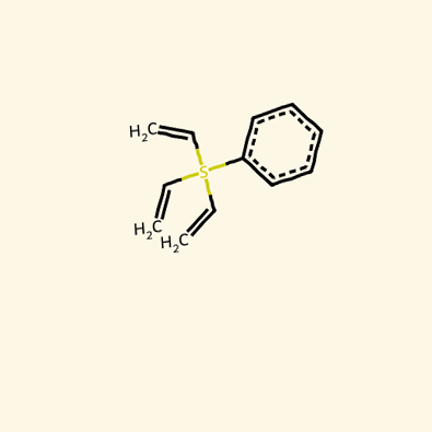 C=CS(C=C)(C=C)c1ccccc1